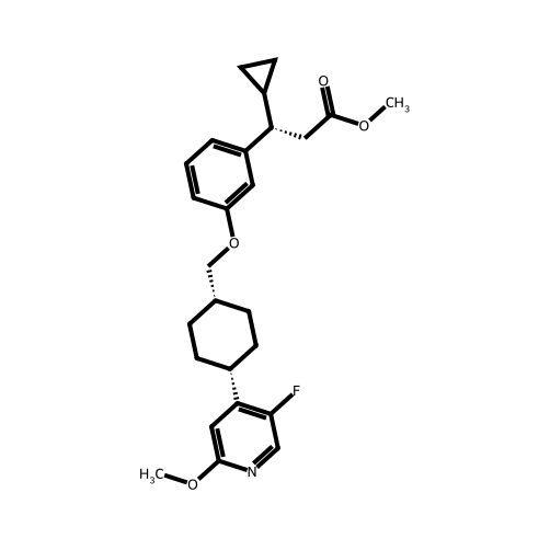 COC(=O)C[C@H](c1cccc(OC[C@H]2CC[C@@H](c3cc(OC)ncc3F)CC2)c1)C1CC1